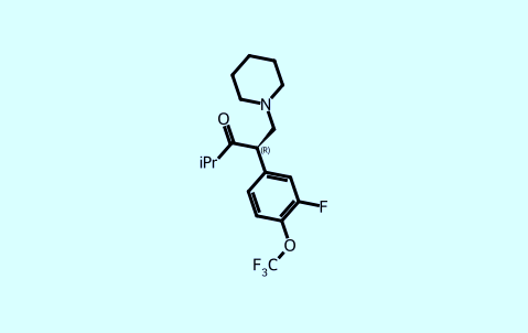 CC(C)C(=O)[C@@H](CN1CCCCC1)c1ccc(OC(F)(F)F)c(F)c1